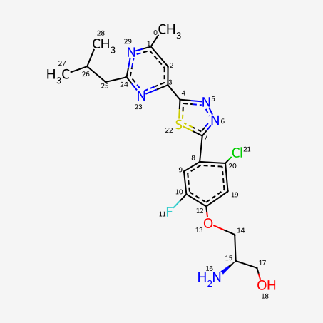 Cc1cc(-c2nnc(-c3cc(F)c(OC[C@H](N)CO)cc3Cl)s2)nc(CC(C)C)n1